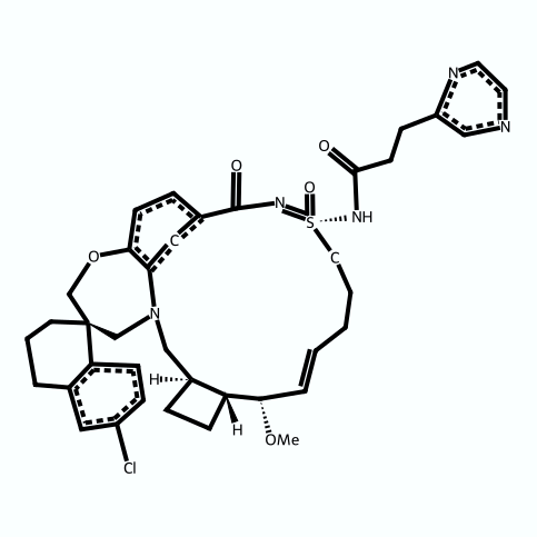 CO[C@H]1/C=C/CCC[S@@](=O)(NC(=O)CCc2cnccn2)=NC(=O)c2ccc3c(c2)N(C[C@@H]2CC[C@H]21)C[C@@]1(CCCc2cc(Cl)ccc21)CO3